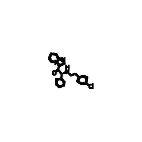 O=C(c1cnc2ccccn12)[C@@H](NCCc1ccc(Cl)cc1)c1ccccc1